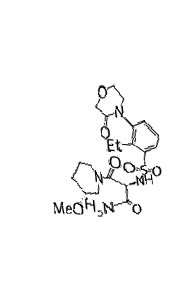 CCc1c(N2CCOCC2=O)cccc1S(=O)(=O)N[C@@H](C(N)=O)C(=O)N1CCC[C@@H](OC)C1